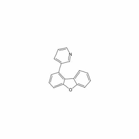 c1cncc(-c2cccc3oc4ccccc4c23)c1